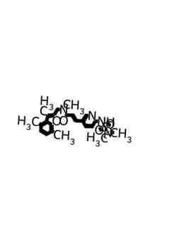 Cc1ccc(C)c2c(C)c(CN(C)C(=O)/C=C/c3ccc(NS(=O)(=O)N(C)C)nc3)oc12